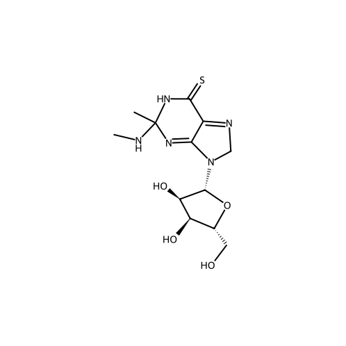 CNC1(C)N=C2C(=NCN2[C@@H]2O[C@H](CO)[C@@H](O)[C@H]2O)C(=S)N1